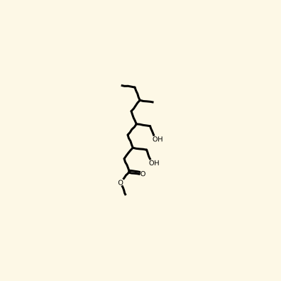 CCC(C)CC(CO)CC(CO)CC(=O)OC